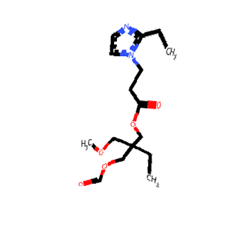 CCc1nccn1CCC(=O)OCC(CC)(COC)COC=O